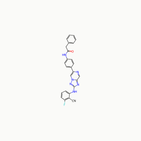 N#Cc1c(F)cccc1Nc1nc2cnc(-c3ccc(NC(=O)Cc4ccccc4)cc3)cn2n1